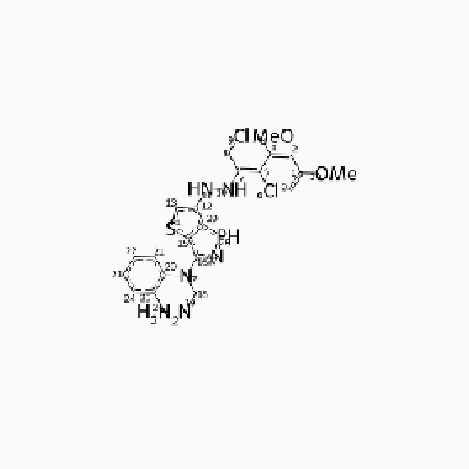 C=C(/C=C(OC)\C(Cl)=C(/CCl)NNc1csc2c(N(CN)c3ccccc3N)n[pH]c12)OC